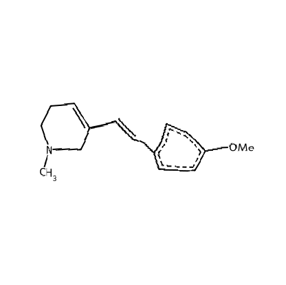 COc1ccc(/C=C/C2=CCCN(C)C2)cc1